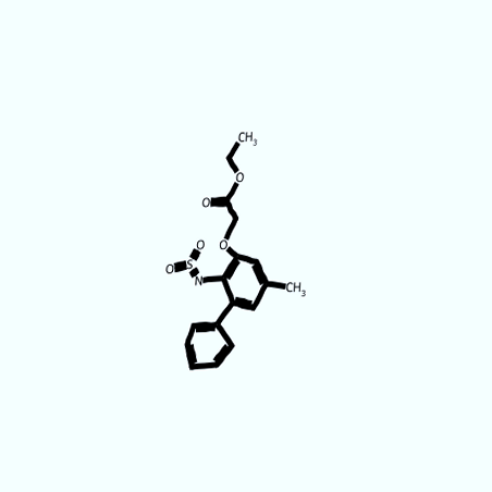 CCOC(=O)COc1cc(C)cc(-c2ccccc2)c1N=S(=O)=O